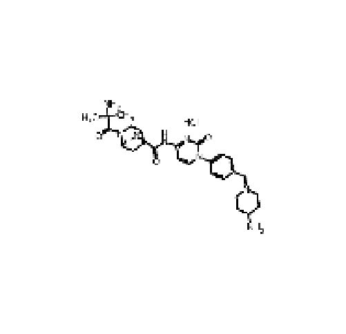 CC(C)(N)C(=O)N1CC2CCC1CN2C(=O)Nc1ccn(-c2ccc(CN3CCC(N)CC3)cc2)c(=O)n1.Cl